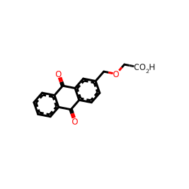 O=C(O)COCc1ccc2c(c1)C(=O)c1ccccc1C2=O